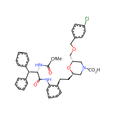 COC(=O)N[C@H](C(=O)Nc1ccccc1CC[C@@H]1CN(C(=O)O)C[C@@H](COCc2ccc(Cl)cc2)O1)C(c1ccccc1)c1ccccc1